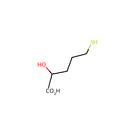 O=C(O)C(O)CCCS